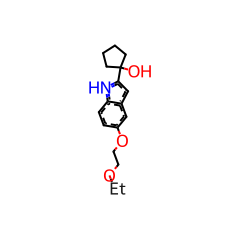 CCOCCOc1ccc2[nH]c(C3(O)CCCC3)cc2c1